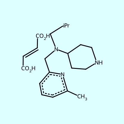 Cc1cccc(CN(CC(C)C)C2CCNCC2)n1.O=C(O)/C=C/C(=O)O